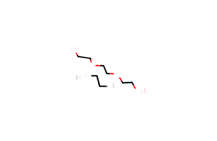 CCCC.OCCOCCOCCO